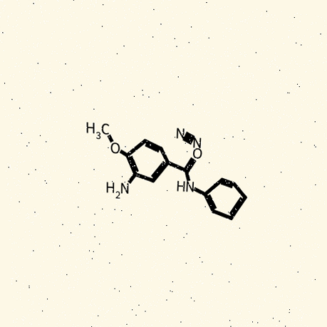 COc1ccc(C(=O)Nc2ccccc2)cc1N.N#N